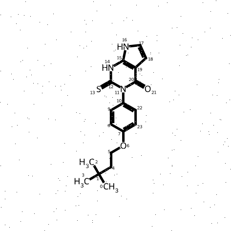 CC(C)(C)CCOc1ccc(-n2c(=S)[nH]c3[nH]ccc3c2=O)cc1